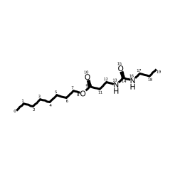 CCCCCCCCOC(=O)CCNC(=O)NCCC